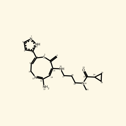 C=C1S/C(c2ccn[nH]2)=C\C/N=C(N)\C=C/1NCCCN(C)C(=O)C1CC1